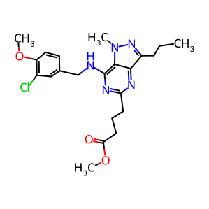 CCCc1nn(C)c2c(NCc3ccc(OC)c(Cl)c3)nc(CCCC(=O)OC)nc12